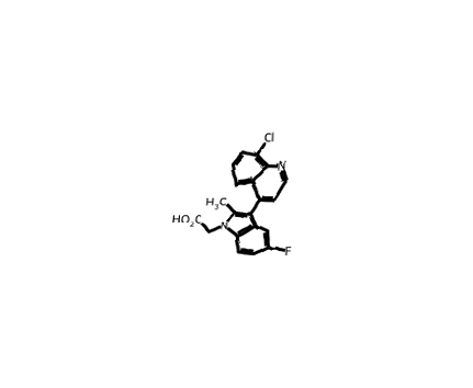 Cc1c(-c2ccnc3c(Cl)cccc23)c2cc(F)ccc2n1CC(=O)O